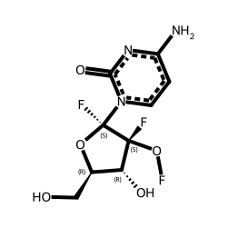 Nc1ccn([C@]2(F)O[C@H](CO)[C@@H](O)[C@@]2(F)OF)c(=O)n1